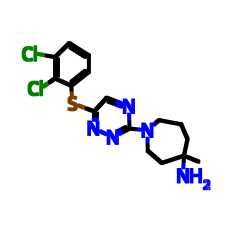 CC1(N)CCCN(c2ncc(Sc3cccc(Cl)c3Cl)nn2)CC1